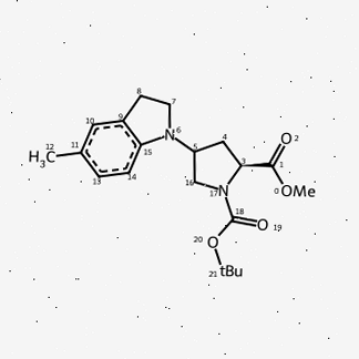 COC(=O)[C@@H]1CC(N2CCc3cc(C)ccc32)CN1C(=O)OC(C)(C)C